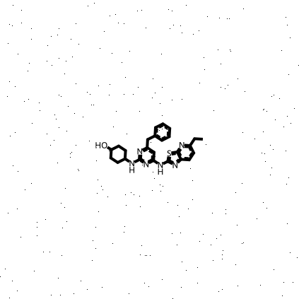 CCc1ccc2nc(Nc3cc(Cc4ccccc4)nc(NC4CCC(O)CC4)n3)sc2n1